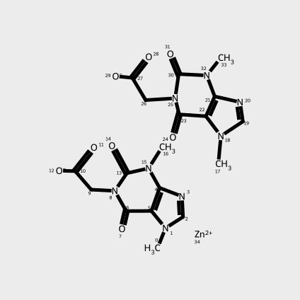 Cn1cnc2c1c(=O)n(CC(=O)[O-])c(=O)n2C.Cn1cnc2c1c(=O)n(CC(=O)[O-])c(=O)n2C.[Zn+2]